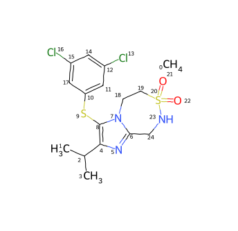 C.CC(C)c1nc2n(c1Sc1cc(Cl)cc(Cl)c1)CCS(=O)(=O)NC2